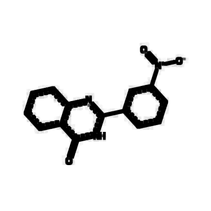 O=c1[nH]c(-c2cccc([N+](=O)[O-])c2)nc2ccccc12